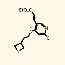 CCOC(=O)/C=C/c1cnc(Cl)cc1NCCC1CNC1